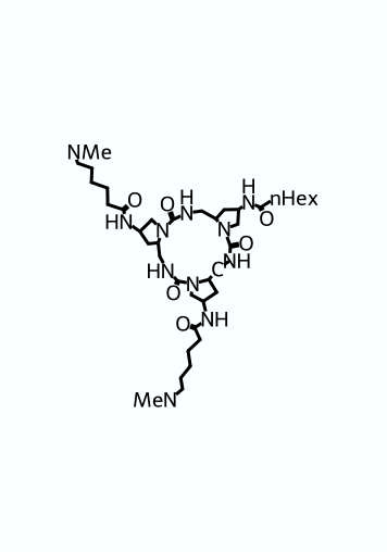 CCCCCCC(=O)NC1CC2CNC(=O)N3CC(NC(=O)CCCCCNC)CC3CNC(=O)N3CC(NC(=O)CCCCCNC)CC3CNC(=O)N2C1